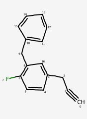 C#CCc1ccc(F)c(Cc2ccccc2)c1